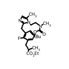 CCOC(=O)C(C)Cc1cccc(Cc2ncc(C)n2CCN(C)C(=O)OC(C)(C)C)c1F